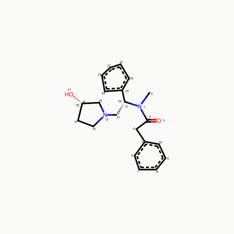 CN(C(=O)Cc1ccccc1)[C@H](CN1CC[C@H](O)C1)c1ccccc1